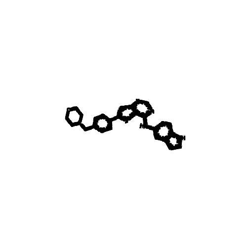 c1nc(Nc2ccc3[nH]ccc3c2)c2sc(-c3ccc(CN4CCOCC4)cc3)cc2n1